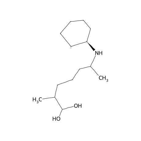 CC(CCCC(C)C(O)O)N[C@H]1[CH]CCCC1